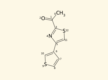 CC(=O)c1nc(-c2ccsc2)cs1